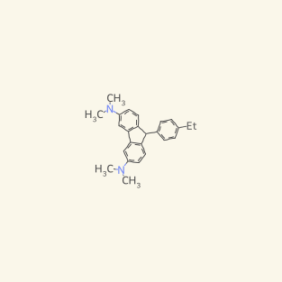 CCc1ccc(C2c3ccc(N(C)C)cc3-c3cc(N(C)C)ccc32)cc1